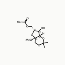 CO[C@]12COC(C)(C)O[C@H]1[C@H](O)[C@@H](COC(=O)C(C)(C)C)O2